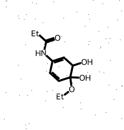 CCOC1(O)C=CC(NC(=O)CC)=CC1O